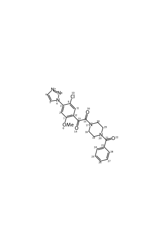 COc1cc(-n2ccnn2)c(Cl)cc1C(=O)C(=O)N1CCN(C(=O)c2ccccc2)CC1